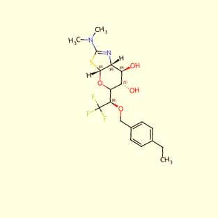 CCc1ccc(CO[C@H](C2O[C@@H]3SC(N(C)C)=N[C@@H]3[C@@H](O)[C@@H]2O)C(F)(F)F)cc1